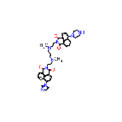 CN(CCCN(C)CCN1C(=O)c2cccc3c(-n4ccnc4)ccc(c23)C1=O)CCN1C(=O)c2cccc3c(N4CCNCC4)ccc(c23)C1=O